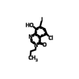 CCCn1cnc2c(O)c(I)cc(Cl)c2c1=O